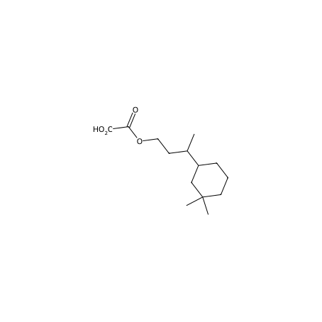 CC(CCOC(=O)C(=O)O)C1CCCC(C)(C)C1